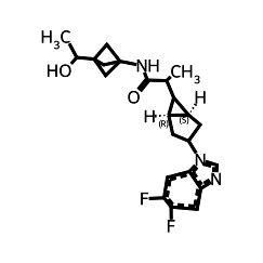 CC(C(=O)NC12CC(C(C)O)(C1)C2)C1[C@H]2CC(n3cnc4cc(F)c(F)cc43)C[C@@H]12